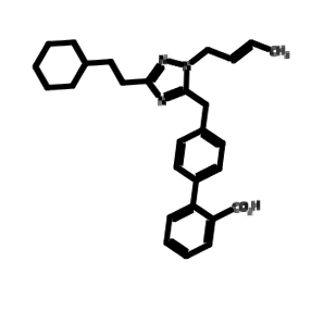 CC=CCn1nc(CCC2CCCCC2)nc1Cc1ccc(-c2ccccc2C(=O)O)cc1